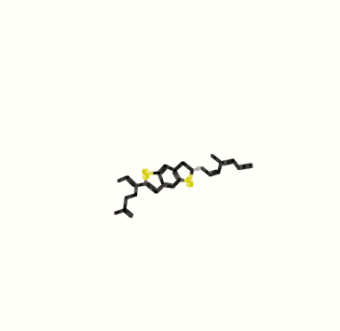 C=C/C=C(C)\C=C/C[C@H]1Cc2cc3sc(/C(=C/C)CCC(=C)C)cc3cc2S1